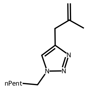 C=C(C)Cc1cn(CCCCCC)nn1